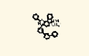 CC1(C)c2ccccc2-c2c1ccc1c(-c3cccc(-c4cccc(-c5ccccc5)c4)c3)nc(-c3ccccc3)nc21